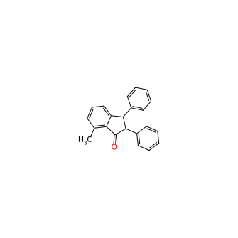 Cc1cccc2c1C(=O)C(c1ccccc1)C2c1ccccc1